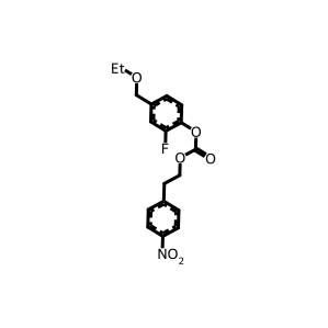 CCOCc1ccc(OC(=O)OCCc2ccc([N+](=O)[O-])cc2)c(F)c1